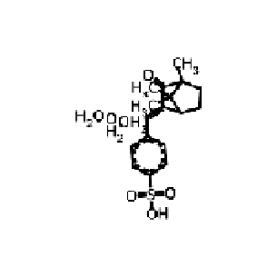 CC12CCC(C(=Cc3ccc(S(=O)(=O)O)cc3)C1=O)C2(C)C.O.O.O